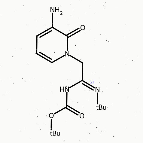 CC(C)(C)/N=C(/Cn1cccc(N)c1=O)NC(=O)OC(C)(C)C